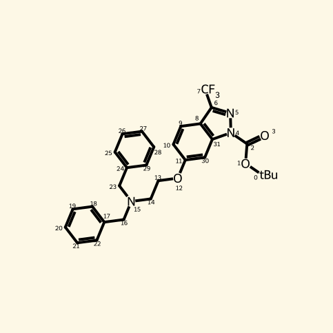 CC(C)(C)OC(=O)n1nc(C(F)(F)F)c2ccc(OCCN(Cc3ccccc3)Cc3ccccc3)cc21